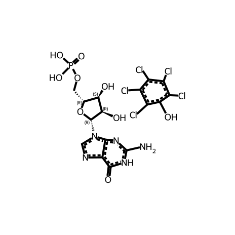 Nc1nc2c(ncn2[C@@H]2O[C@H](COP(=O)(O)O)[C@@H](O)[C@H]2O)c(=O)[nH]1.Oc1c(Cl)c(Cl)c(Cl)c(Cl)c1Cl